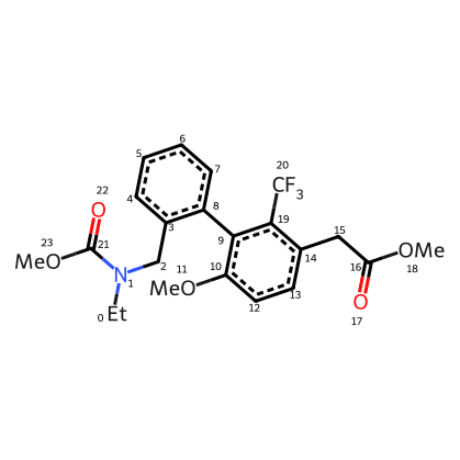 CCN(Cc1ccccc1-c1c(OC)ccc(CC(=O)OC)c1C(F)(F)F)C(=O)OC